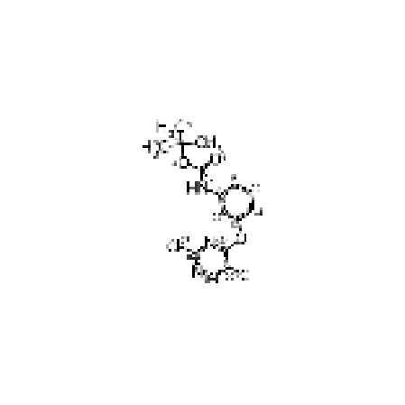 CC(C)(C)OC(=O)Nc1cccc(Oc2nc(Cl)nnc2Cl)c1